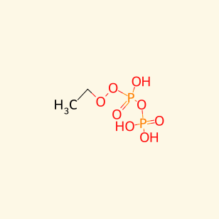 CCOOP(=O)(O)OP(=O)(O)O